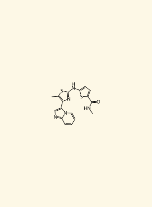 CNC(=O)c1ccc(Nc2nc(-c3cnc4ccccn34)c(C)s2)s1